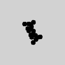 c1ccc(-c2ccc3c(c2)c2cc(N(c4cccc(N(c5ccc6c(c5)c5cc(-c7ccccc7)ccc5n6-c5ccccc5)c5cccc6ccccc56)c4)c4cccc5ccccc45)ccc2n3-c2ccccc2)cc1